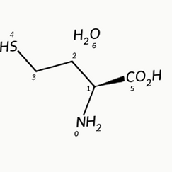 N[C@@H](CCS)C(=O)O.O